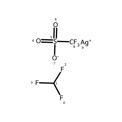 FC(F)F.O=S(=O)([O-])C(F)(F)F.[Ag+]